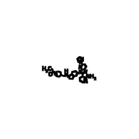 C=CC(=O)N1CCC(CN[C@H]2CCc3cc(-n4c(-c5cccnc5N)nc5ccc(-n6cccn6)nc54)ccc32)CC1